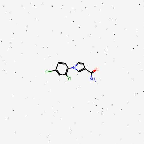 NC(=O)c1ccn(-c2ccc(Cl)cc2Cl)c1